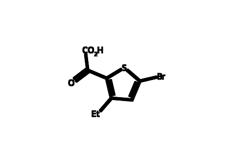 CCc1cc(Br)sc1C(=O)C(=O)O